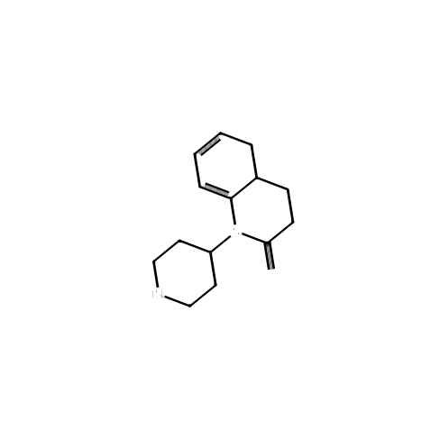 S=C1CCC2CC=CC=C2N1C1CCNCC1